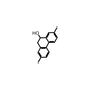 OC1Cc2cc(I)ccc2-c2ccc(I)cc21